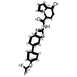 O=C1CCC(C(=O)Nc2nc3ccc(-c4ccc(OC(F)F)cc4)cc3s2)n2cccc21